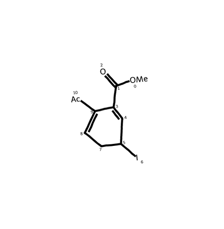 COC(=O)C1=CC(I)CC=C1C(C)=O